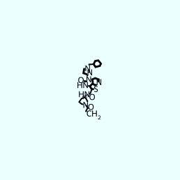 C=CC(=O)N1CCC[C@@H](NC(=O)c2sc3nccc4c3c2NC(=O)N4c2ccn(Cc3ccccc3)n2)C1